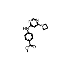 COC(=O)c1ccc(Nc2cc(N3CCC3)ncn2)cc1